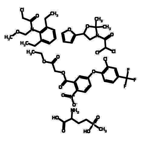 CC1(C)OC(c2ccco2)CN1C(=O)C(Cl)Cl.CCOC(=O)COC(=O)c1cc(Oc2ccc(C(F)(F)F)cc2Cl)ccc1[N+](=O)[O-].CCc1cccc(CC)c1N(COC)C(=O)CCl.CP(=O)(O)CCC(N)C(=O)O